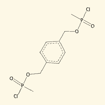 CP(=O)(Cl)OCc1ccc(COP(C)(=O)Cl)cc1